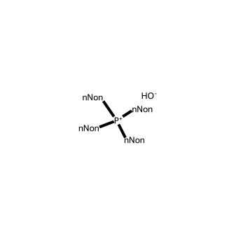 CCCCCCCCC[P+](CCCCCCCCC)(CCCCCCCCC)CCCCCCCCC.[OH-]